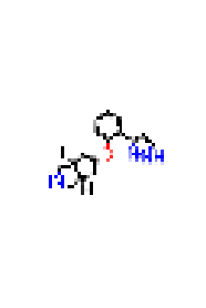 c1ccc(-c2cc[nH]n2)c(O[C@@H]2C[C@H]3CNC[C@H]3C2)c1